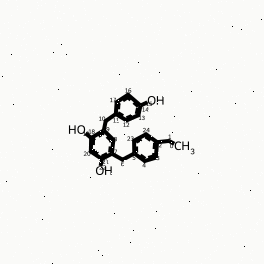 CCc1ccc(Cc2cc(Cc3ccc(O)cc3)c(O)cc2O)cc1